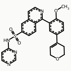 COc1ccc(C2=CCOCC2)cc1-c1nccc2cc(S(=O)(=O)Nc3ccncn3)ccc12